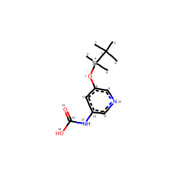 CC(C)(C)[Si](C)(C)Oc1cncc(NC(=O)O)c1